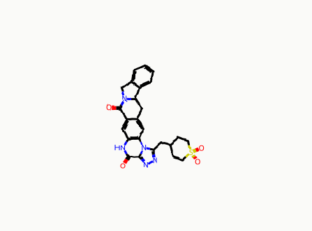 O=C1c2cc3[nH]c(=O)c4nnc(CC5CCS(=O)(=O)CC5)n4c3cc2CC2c3ccccc3CN12